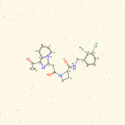 CC(=O)c1nc(CC(=O)N2CCC2C(=O)NCc2cccc(Cl)c2F)n2ccccc12